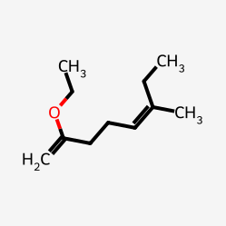 C=C(CCC=C(C)CC)OCC